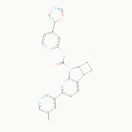 O=C(Nc1cc(-c2cnco2)ccn1)N1c2nc(-c3cncc(C(F)(F)F)c3)ccc2C2C[C@@H](O)C21